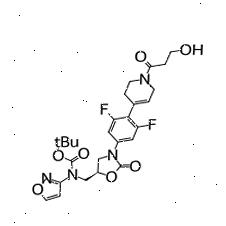 CC(C)(C)OC(=O)N(C[C@H]1CN(c2cc(F)c(C3=CCN(C(=O)CCO)CC3)c(F)c2)C(=O)O1)c1ccon1